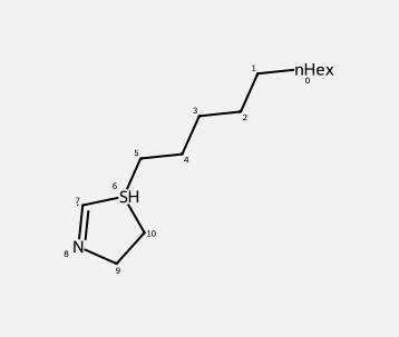 CCCCCCCCCCC[SH]1[C]=NCC1